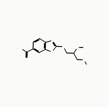 COC(=O)c1ccc2nc(SCC(COC(=O)O)OC(=O)O)sc2c1